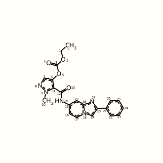 CCOC(=O)Oc1cnn(C)c1C(=O)Nc1ccn2cc(-c3ccccc3)nc2c1